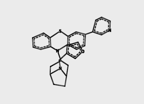 c1cncc(-c2ccc3c(c2)Sc2ccccc2N3C2CC3CCC(C2)N3Cc2ccoc2)c1